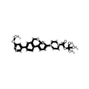 COc1cc(-c2ccc3c(c2)COc2nc(N4CCN(C(=O)OC(C)(C)C)CC4)ccc2-3)cnn1